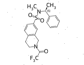 C[C@@H](c1ccccc1)N(C)S(=O)(=O)c1ccc2c(c1)CN(C(=O)C(F)(F)F)CC2